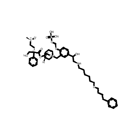 C[S@@+]([O-])CC[C@](CO)(C(=O)O[C@H]1C[N+]2(Cc3cc(C(O)CNCCCCCCOCCCCc4ccccc4)ccc3OCOP(=O)(O)O)CCC1CC2)c1ccccc1